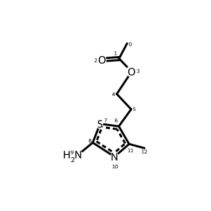 CC(=O)OCCc1sc(N)nc1C